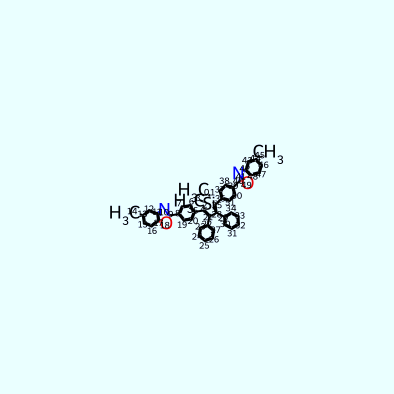 CC[Si]1(C)C(c2ccc(-c3nc4cc(C)ccc4o3)cc2)=C(c2ccccc2)C(c2ccccc2)=C1c1ccc(-c2nc3cc(C)ccc3o2)cc1